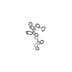 C1=C=CC(c2cccc(-c3nc(-n4c5ccccc5c5c6c(ccc54)CC(N4c5ccccc5C5c7ccccc7CCC54)C=C6)nc4ccccc34)c2)=CC=1